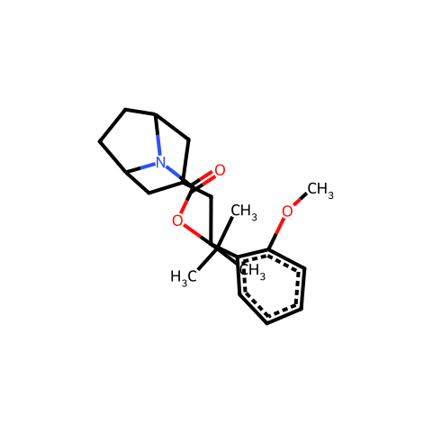 COc1ccccc1CCC1CC2CCC(C1)N2C(=O)OC(C)(C)C